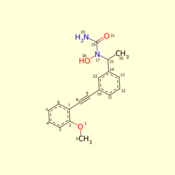 COc1ccccc1C#Cc1cccc(C(C)N(O)C(N)=O)c1